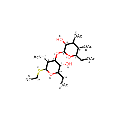 CC(=O)N[C@H]1C(O[C@@H]2OC(COC(C)=O)[C@H](OC(C)=O)C(OC(C)=O)[C@@H]2O)[C@H](O)C(COC(C)=O)O[C@H]1SCC#N